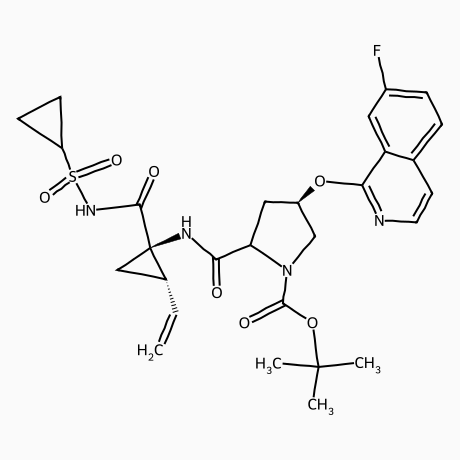 C=C[C@@H]1C[C@]1(NC(=O)C1C[C@@H](Oc2nccc3ccc(F)cc23)CN1C(=O)OC(C)(C)C)C(=O)NS(=O)(=O)C1CC1